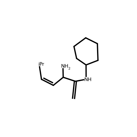 C=C(NC1CCCCC1)C(N)/C=C\C(C)C